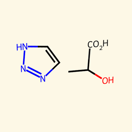 CC(O)C(=O)O.c1c[nH]nn1